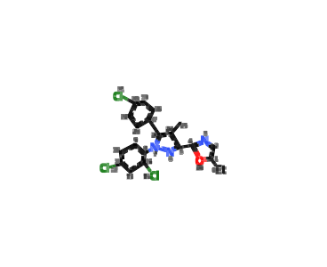 CCc1cnc(-c2nn(-c3ccc(Cl)cc3Cl)c(-c3ccc(Cl)cc3)c2C)o1